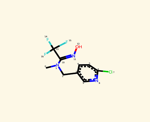 CN(Cc1ccc(Cl)nc1)C(=NO)C(F)(F)F